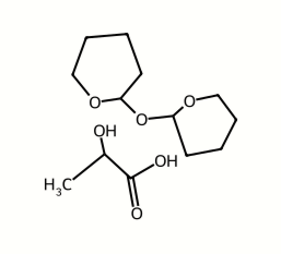 C1CCC(OC2CCCCO2)OC1.CC(O)C(=O)O